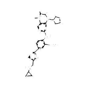 CC[C@@H]1C(=O)N(C)c2cnc(Nc3ccc(-c4nc(CNC5CC5)cs4)cc3OC)nc2N1C1CCCC1